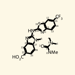 CNC(=O)N(C)C.Cn1c(Nc2nc3ccc(C(F)(F)F)cc3s2)nc2cc(C(=O)O)ccc21